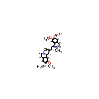 COc1cc2c(cc1OC)C(CCCCC1c3cc(OC)c(OC)cc3CCN1C)N(C)CC2